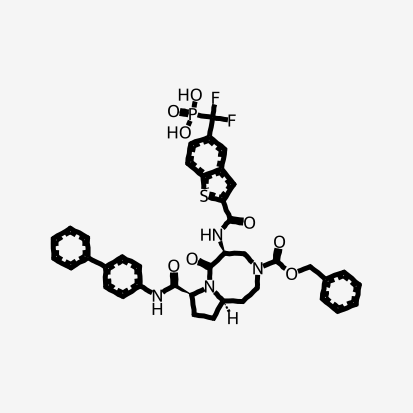 O=C(N[C@H]1CN(C(=O)OCc2ccccc2)CC[C@H]2CC[C@@H](C(=O)Nc3ccc(-c4ccccc4)cc3)N2C1=O)c1cc2cc(C(F)(F)P(=O)(O)O)ccc2s1